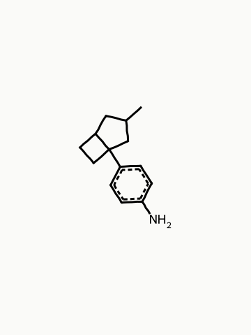 CC1CC2CCC2(c2ccc(N)cc2)C1